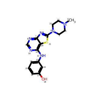 CN1CCN(c2nc3ncnc(Nc4cccc(O)c4)c3s2)CC1